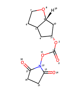 O=C(O[C@@H]1CC2CCO[C@@H]2C1)ON1C(=O)CCC1=O